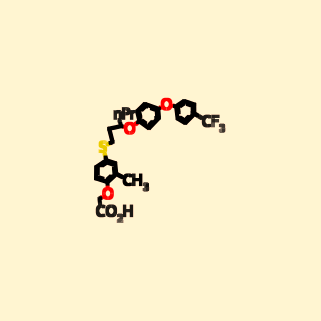 CCCC(CCSc1ccc(OCC(=O)O)c(C)c1)Oc1ccc(Oc2ccc(C(F)(F)F)cc2)cc1